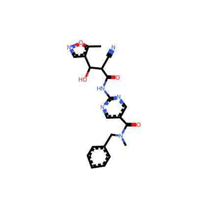 Cc1oncc1C(O)C(C#N)C(=O)Nc1ncc(C(=O)N(C)Cc2ccccc2)cn1